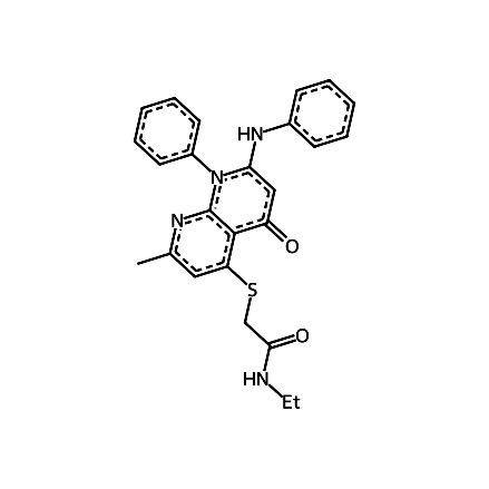 CCNC(=O)CSc1cc(C)nc2c1c(=O)cc(Nc1ccccc1)n2-c1ccccc1